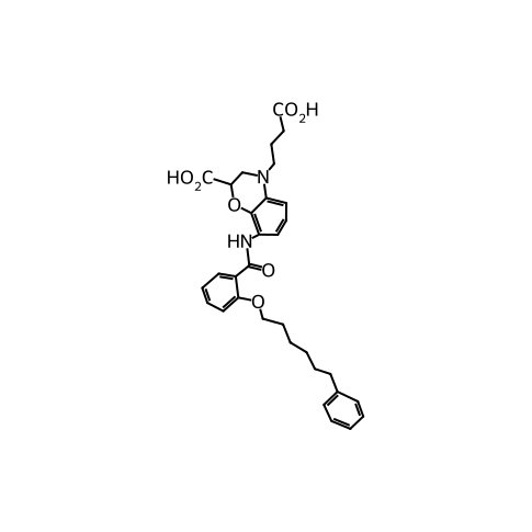 O=C(O)CCCN1CC(C(=O)O)Oc2c(NC(=O)c3ccccc3OCCCCCCc3ccccc3)cccc21